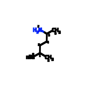 CCCCC(C)CCC(C)N